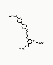 CCCCCC1CCC(C2CCC(OCCOc3cc(OCOC)cc(OCOC(C)=O)c3)CC2)CC1